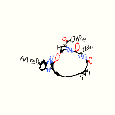 COC(=O)[C@@H]1C[C@@H]2CN1C(=O)[C@H](C(C)(C)C)NC(=O)C[C@@H]1C[C@H]1CCCC#Cc1nc3ccc(OC)cc3nc1O2